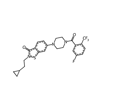 O=C(c1cc(F)ccc1C(F)(F)F)N1CCN(c2ccc3c(=O)n(CCC4CC4)sc3c2)CC1